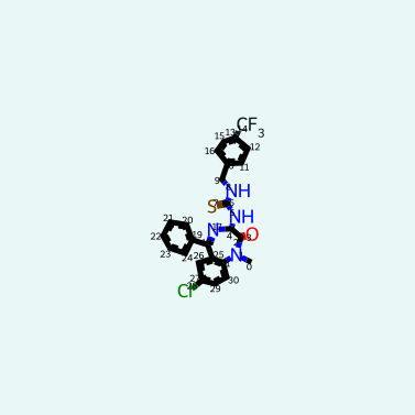 CN1C(=O)C(NC(=S)NCc2ccc(C(F)(F)F)cc2)N=C(c2ccccc2)c2cc(Cl)ccc21